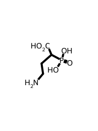 NCCC(C(=O)O)P(=O)(O)O